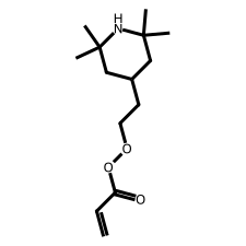 C=CC(=O)OOCCC1CC(C)(C)NC(C)(C)C1